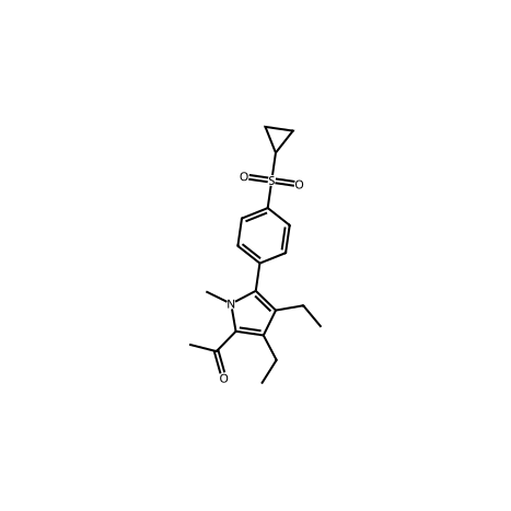 CCc1c(CC)c(-c2ccc(S(=O)(=O)C3CC3)cc2)n(C)c1C(C)=O